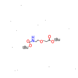 CC(C)(C)OC(=O)CCOCCNC(=O)OC(C)(C)C